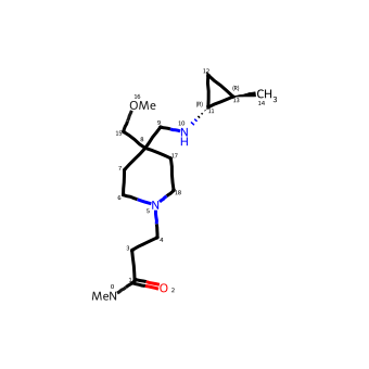 CNC(=O)CCN1CCC(CN[C@@H]2C[C@H]2C)(COC)CC1